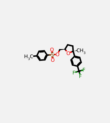 Cc1ccc(S(=O)(=O)OC[C@H]2CC[C@@](C)(c3ccc(C(F)(F)F)cc3)O2)cc1